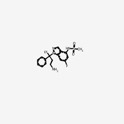 CCC(CCN)(c1ccccc1)n1ncc2c(NS(C)(=O)=O)cc(F)cc21